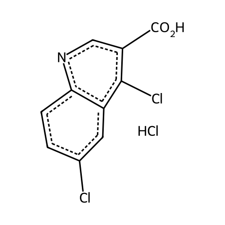 Cl.O=C(O)c1cnc2ccc(Cl)cc2c1Cl